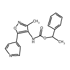 Cc1noc(-c2ccncc2)c1NC(=O)OC(C)c1ccccc1